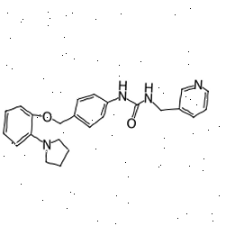 O=C(NCc1cccnc1)Nc1ccc(COc2ccccc2N2CCCC2)cc1